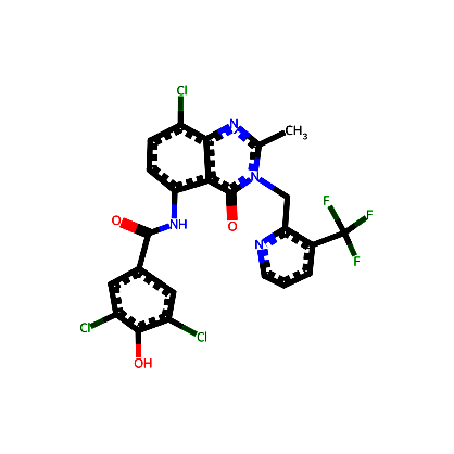 Cc1nc2c(Cl)ccc(NC(=O)c3cc(Cl)c(O)c(Cl)c3)c2c(=O)n1Cc1ncccc1C(F)(F)F